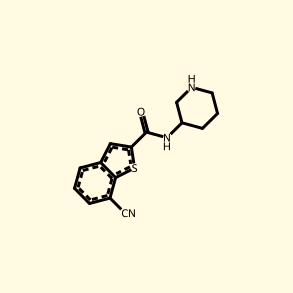 N#Cc1cccc2cc(C(=O)NC3CCCNC3)sc12